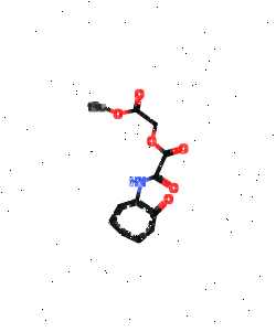 CC(C)(C)OC(=O)COC(=O)C(=O)Nc1cccccc1=O